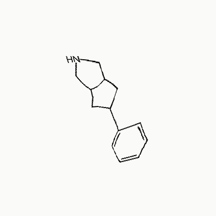 c1ccc(C2CC3CNCC3C2)cc1